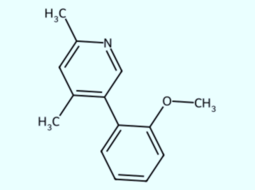 COc1ccccc1-c1cnc(C)cc1C